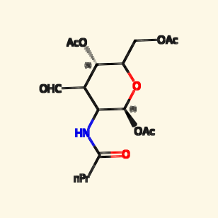 CCCC(=O)NC1C(C=O)[C@H](OC(C)=O)C(COC(C)=O)O[C@H]1OC(C)=O